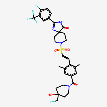 Cc1cc(C(=O)N2CCC(O)(CF)CC2)cc(C)c1C=CS(=O)(=O)N1CCC2(CC1)N=C(c1ccc(F)c(C(F)(F)F)c1)NC2=O